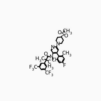 Cc1cc(F)ccc1-c1cc(N2CCC(S(C)(=O)=O)CC2)ncc1N(C)C(=O)C(C)(C)c1cc(C(F)(F)F)cc(C(F)(F)F)c1